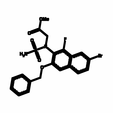 COC(=O)CN(c1c(OCc2ccccc2)cc2ccc(Br)cc2c1F)S(N)(=O)=O